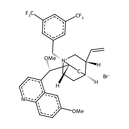 C=C[C@H]1C[N@+]2(Cc3cc(C(F)(F)F)cc(C(F)(F)F)c3)CC[C@H]1C[C@@H]2[C@@H](OC)c1ccnc2ccc(OC)cc12.[Br-]